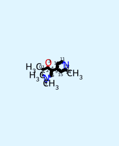 CCC(=O)/C(=C\N(C)C)c1ccnc(C)c1